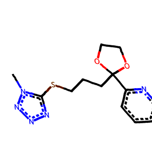 Cn1nnnc1SCCCC1(c2ccccn2)OCCO1